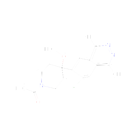 [2H]c1nnc(C)c2cc(F)c(C3(OC)CCN(C(C)=O)CC3)cc12